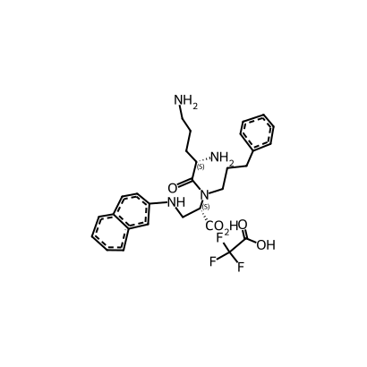 NCCC[C@H](N)C(=O)N(CCCc1ccccc1)[C@@H](CNc1ccc2ccccc2c1)C(=O)O.O=C(O)C(F)(F)F